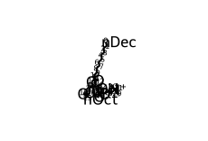 CCCCCCCCCCCCCCCCCCCCC(=O)O[C@H](COC(=O)CCCCCCCC)COP(=O)(O)OCC[N+](C)(C)C